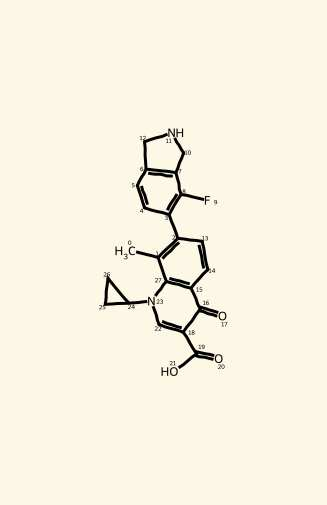 Cc1c(-c2ccc3c(c2F)CNC3)ccc2c(=O)c(C(=O)O)cn(C3CC3)c12